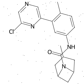 Cc1ccc(NC(=O)N2C3CC(C)CC2C3)cc1-c1cncc(Cl)n1